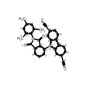 Cc1cc(C)c(N2C(=O)c3cccc(-n4c5cc(C#N)ccc5c5ccc(C#N)cc54)c3C2=O)c(C)c1